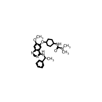 COc1cc2ncnc(N[C@H](C)c3ccccc3)c2cc1OC1CCC(NC(=O)N(C)C)CC1